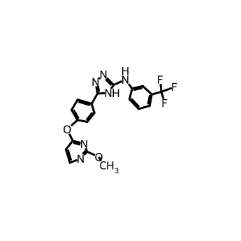 COc1nccc(Oc2ccc(-c3nnc(Nc4cccc(C(F)(F)F)c4)[nH]3)cc2)n1